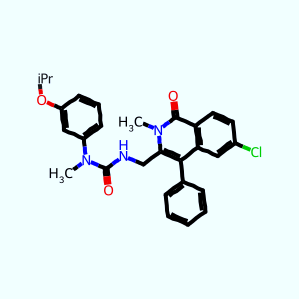 CC(C)Oc1cccc(N(C)C(=O)NCc2c(-c3ccccc3)c3cc(Cl)ccc3c(=O)n2C)c1